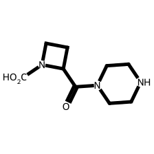 O=C(C1CCN1C(=O)O)N1CCNCC1